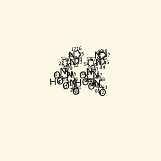 O=C1c2c(O)c(=O)nc(CC3(n4ccc5cccnc54)CCCC3)n2CCN1C1COC1.O=C1c2c(O)c(=O)nc(CC3(n4ccc5cccnc54)CCCC3)n2CCN1C1COC1